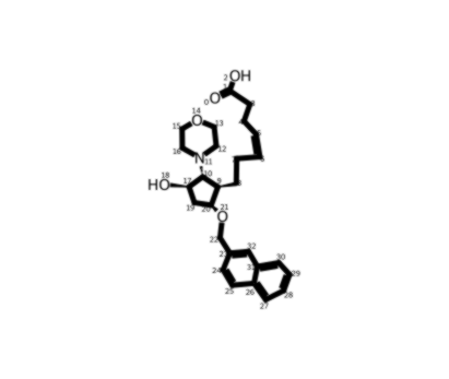 O=C(O)CC/C=C\CC[C@@H]1[C@@H](N2CCOCC2)[C@H](O)C[C@@H]1OCc1ccc2ccccc2c1